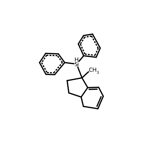 CC1([SiH](c2ccccc2)c2ccccc2)CCC2CC=CC=C21